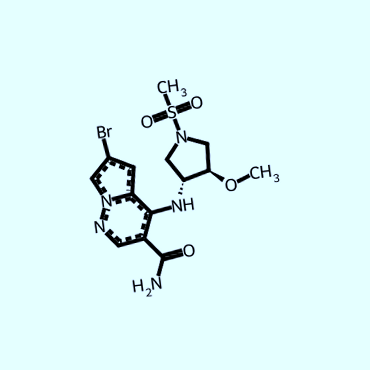 CO[C@@H]1CN(S(C)(=O)=O)C[C@H]1Nc1c(C(N)=O)cnn2cc(Br)cc12